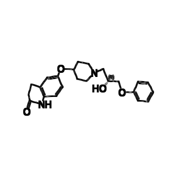 O=C1CCc2cc(OC3CCN(C[C@@H](O)COc4ccccc4)CC3)ccc2N1